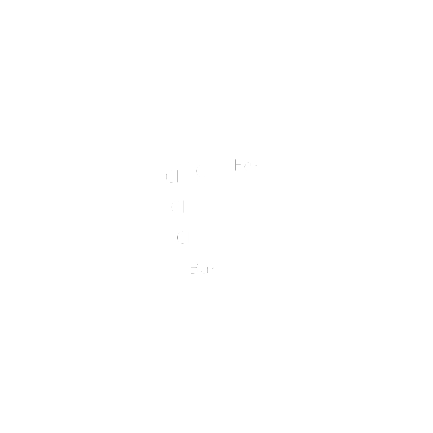 [Ba+2].[Cl-].[Cl-].[Cl-].[Cl-].[Fe+2]